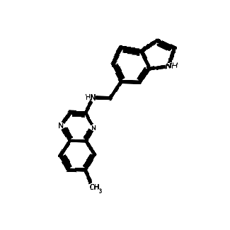 Cc1ccc2ncc(NCc3ccc4cc[nH]c4c3)nc2c1